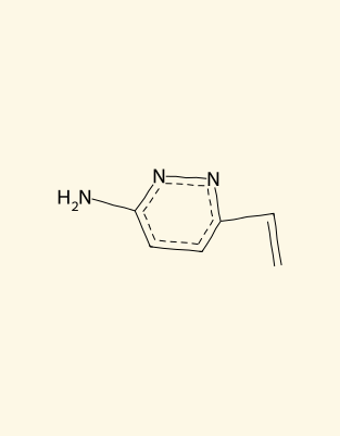 C=Cc1ccc(N)nn1